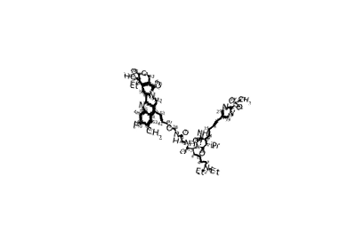 CCN(CC)CCCC[C@H](NC(=O)[C@@H](C(C)C)C(CCC#Cc1cnc(S(C)(=O)=O)nc1)C(N)=O)C(=O)NCC(=O)NCOC/C=C/c1c2c(nc3cc(F)c(C)cc13)-c1cc3c(c(=O)n1C2)COC(=O)[C@]3(O)CC